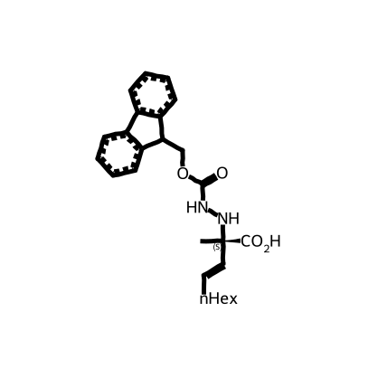 CCCCCCC=C[C@](C)(NNC(=O)OCC1c2ccccc2-c2ccccc21)C(=O)O